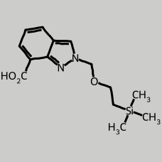 C[Si](C)(C)CCOCn1cc2cccc(C(=O)O)c2n1